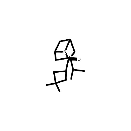 CC(C)N1CC2CC(C1)N2C(=O)C1CC(C)(C)C1